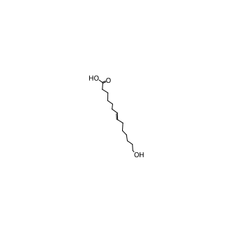 O=C(O)CCCCCC=CCCCCCCO